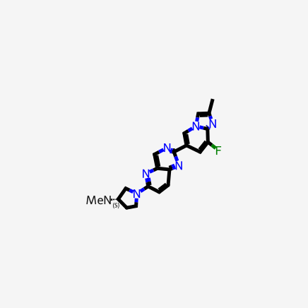 CN[C@H]1CCN(c2ccc3nc(-c4cc(F)c5nc(C)cn5c4)ncc3n2)C1